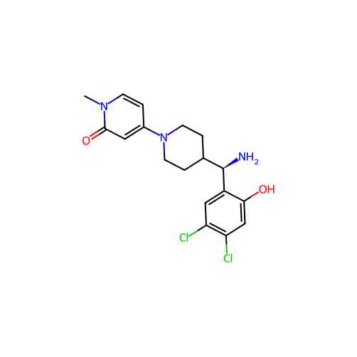 Cn1ccc(N2CCC([C@@H](N)c3cc(Cl)c(Cl)cc3O)CC2)cc1=O